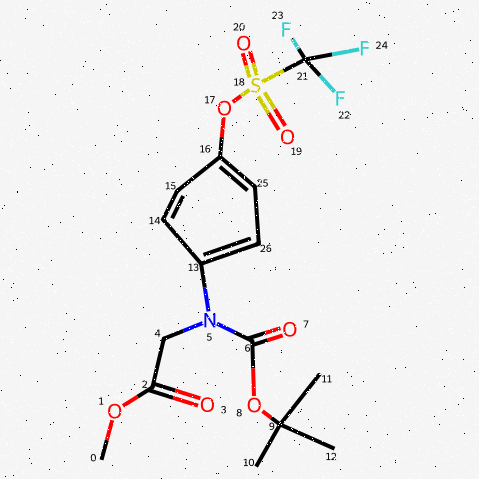 COC(=O)CN(C(=O)OC(C)(C)C)c1ccc(OS(=O)(=O)C(F)(F)F)cc1